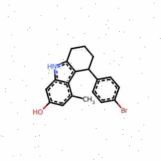 Cc1cc(O)cc2[nH]c3c(c12)C(c1ccc(Br)cc1)CCC3